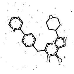 O=c1[nH]c(Cc2ccc(-c3ccccn3)cc2)cn2c(C3CCOCC3)ncc12